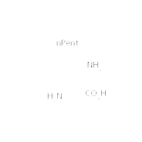 CCCCCC(C)C(N)(N)C(=O)O